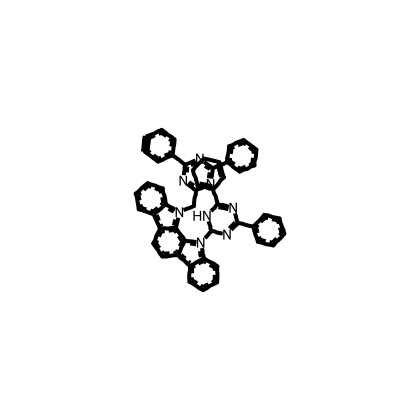 c1ccc(-c2nc(Cn3c4ccccc4c4ccc5c6ccccc6n(C6N=C(c7ccccc7)N=C(C7=CCCC=C7)N6)c5c43)nc(-c3ccccc3)n2)cc#1